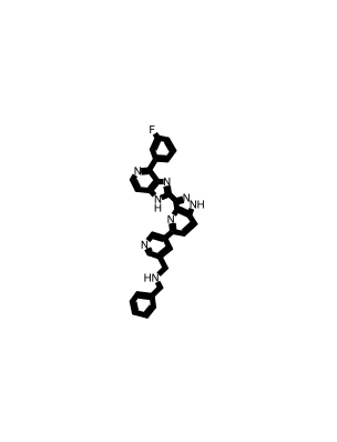 Fc1cccc(-c2nccc3[nH]c(-c4n[nH]c5ccc(-c6cncc(CNCc7ccccc7)c6)nc45)nc23)c1